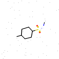 CC1CCC(S(=O)(=O)NC(C)C)CC1